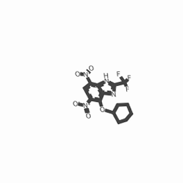 O=[N+]([O-])c1cc([N+](=O)[O-])c2[nH]c(C(F)(F)F)nc2c1OC1CCCCC1